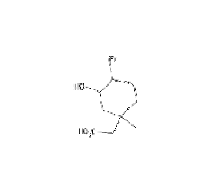 CC(C)C1CCC(C)(CC(=O)O)CC1O